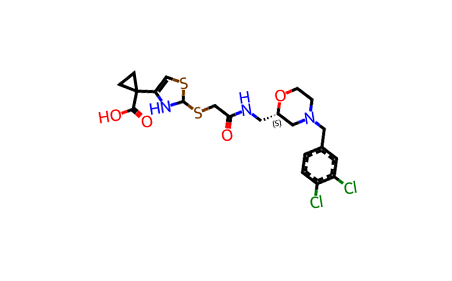 O=C(CSC1NC(C2(C(=O)O)CC2)=CS1)NC[C@H]1CN(Cc2ccc(Cl)c(Cl)c2)CCO1